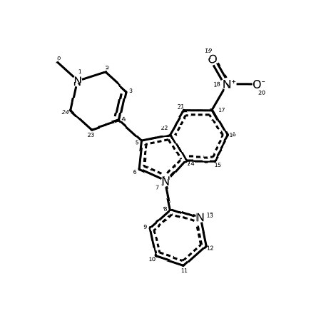 CN1CC=C(c2cn(-c3ccccn3)c3ccc([N+](=O)[O-])cc23)CC1